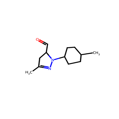 CC1=NN(C2CCC(C)CC2)C(C=O)C1